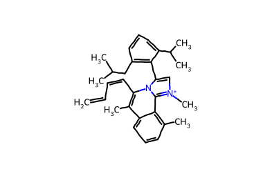 C=C/C=C\c1c(C)c2cccc(C)c2c2n1c(-c1c(CC(C)C)cccc1C(C)C)c[n+]2C